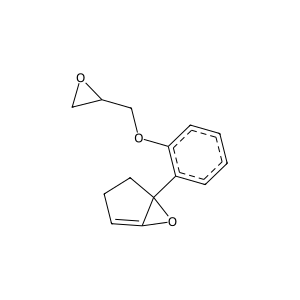 C1=C2OC2(c2ccccc2OCC2CO2)CC1